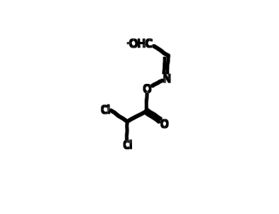 O=[C]/C=N\OC(=O)C(Cl)Cl